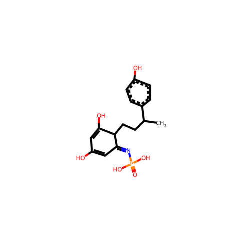 CC(CCC1C(O)=CC(O)=CC1=NP(=O)(O)O)c1ccc(O)cc1